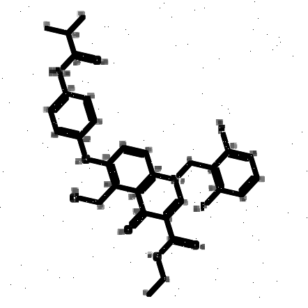 CCOC(=O)c1cn(Cc2c(F)cccc2F)c2ccc(Oc3ccc(NC(=O)C(C)C)cc3)c(CCl)c2c1=O